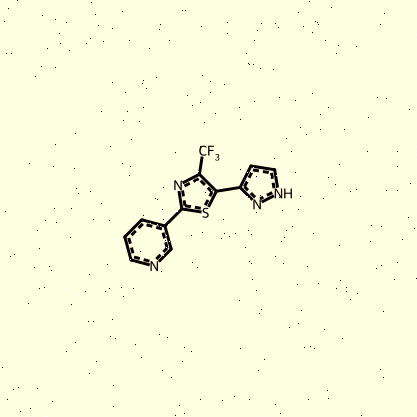 FC(F)(F)c1nc(-c2cccnc2)sc1-c1cc[nH]n1